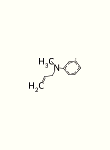 C=CCN(C)c1c[c]ccc1